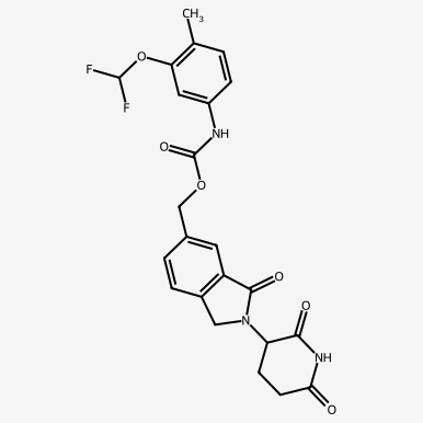 Cc1ccc(NC(=O)OCc2ccc3c(c2)C(=O)N(C2CCC(=O)NC2=O)C3)cc1OC(F)F